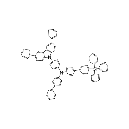 c1ccc(-c2ccc(N(c3ccc(-c4ccc([Si](c5ccccc5)(c5ccccc5)c5ccccc5)cc4)cc3)c3ccc(-n4c5ccc(-c6ccccc6)cc5c5cc(-c6ccccc6)ccc54)cc3)cc2)cc1